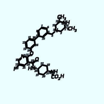 C[C@@H]1CN(Cc2cccc(-c3cccc(Oc4ncc(F)cc4C(=O)N[C@H]4CC[C@H](NC(=O)O)CC4)c3)c2)C[C@H](C)N1